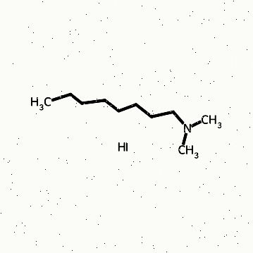 CCCCCCCCN(C)C.I